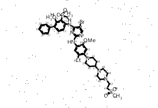 CCc1cc(Nc2ncc(Br)c(Nc3ccc(-c4ccccc4)c(C)c3P(C)(C)=O)n2)c(OC)cc1N1CCC(N2CCN(CCS(C)(=O)=O)CC2)CC1